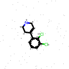 Clc1cccc(C2=CC[N]CC2)c1Cl